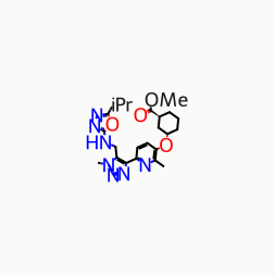 COC(=O)[C@H]1CCC[C@H](Oc2ccc(-c3nnn(C)c3CNc3nnc(C(C)C)o3)nc2C)C1